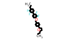 CCCc1ccc(-c2ccc(OCc3ccc(C4CCC(CCC)O4)cc3)c(F)c2F)c(F)c1F